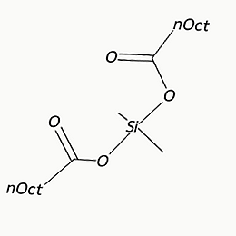 CCCCCCCCC(=O)O[Si](C)(C)OC(=O)CCCCCCCC